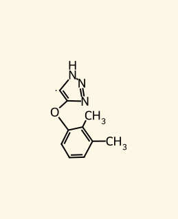 Cc1cccc(Oc2[c][nH]nn2)c1C